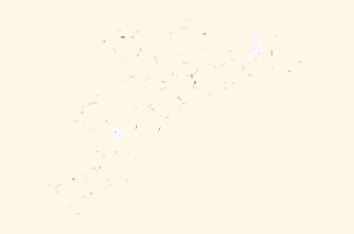 c1ccc(Nc2ccc3cc4c(cc3c2)C2(c3cc5cc(N(c6ccccc6)c6ccc7sc8ccccc8c7c6)ccc5cc3-4)c3ccccc3-c3c2ccc2ccccc32)cc1